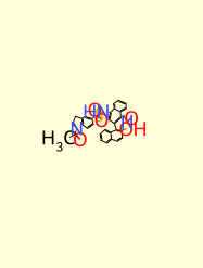 CC(=O)N1CCc2cc(S(=O)(=O)Nc3cc(-c4c(O)ccc5ccccc45)c(N=O)c4ccccc34)ccc21